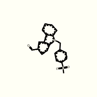 CS(=O)(=O)c1ccc(Cn2c3ccccc3c3cc(C=O)ccc32)cc1